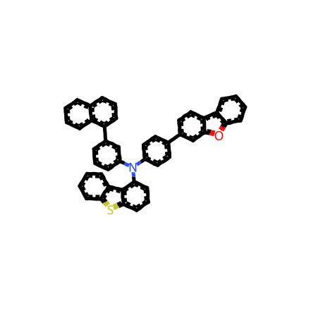 c1cc(-c2cccc3ccccc23)cc(N(c2ccc(-c3ccc4c(c3)oc3ccccc34)cc2)c2cccc3sc4ccccc4c23)c1